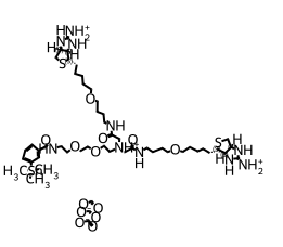 O=C[O-].O=C[O-].O=C[O-].[CH3][Sn]([CH3])([CH3])[c]1cccc(C(=O)NCCOCCOCC[NH+](CC(=O)NCCCCOCCCCC[C@@H]2SC[C@@H]3NC(=[NH2+])N[C@@H]32)CC(=O)NCCCCOCCCCC[C@@H]2SC[C@@H]3NC(=[NH2+])N[C@@H]32)c1